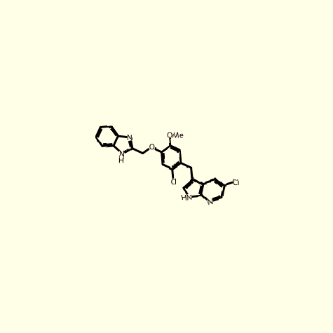 COc1cc(Cc2c[nH]c3ncc(Cl)cc23)c(Cl)cc1OCc1nc2ccccc2[nH]1